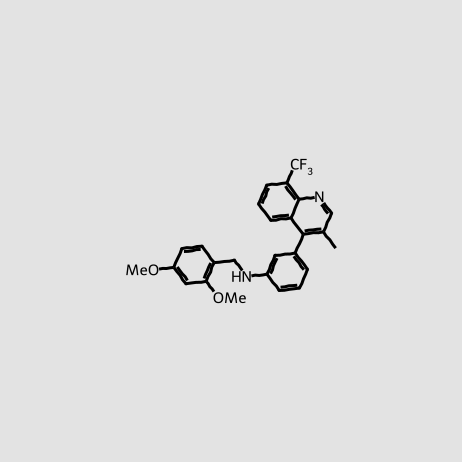 COc1ccc(CNc2cccc(-c3c(C)cnc4c(C(F)(F)F)cccc34)c2)c(OC)c1